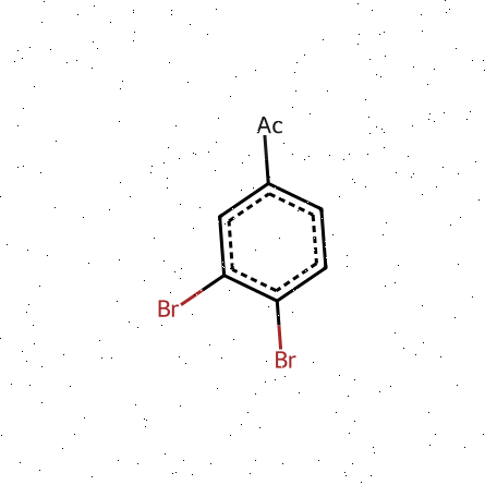 CC(=O)c1ccc(Br)c(Br)c1